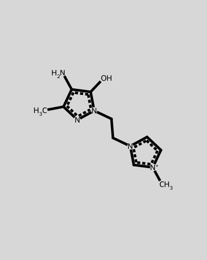 Cc1nn(CCn2cc[n+](C)c2)c(O)c1N